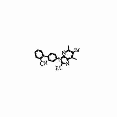 CCc1nc2c(C)c(Br)c(C)nc2n1-c1ccc(-c2ccccc2C#N)cc1